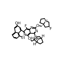 CCc1cccc2cc(O)cc(-c3nc4c5c(nc(OC[C@]67CCCN6C[C@H](F)C7)nc5c3F)N3C[C@@H]5CC[C@@H](N5)[C@@H]3CO4)c12